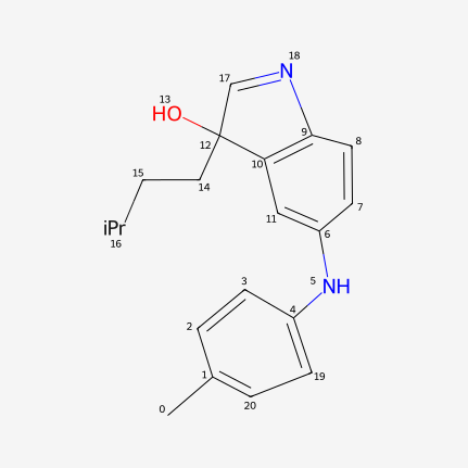 Cc1ccc(Nc2ccc3c(c2)C(O)(CCC(C)C)C=N3)cc1